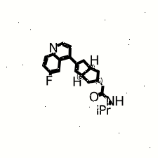 CC(C)NC(=O)C[C@H]1C[C@@H]2CC(c3ccnc4ccc(F)cc34)=C[C@@H]2C1